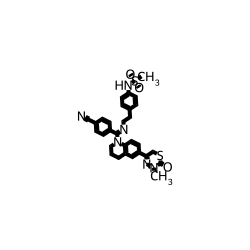 CN1N=C(c2ccc3c(c2)CCCN3C(=NCCc2ccc(NS(C)(=O)=O)cc2)c2ccc(C#N)cc2)CSC1=O